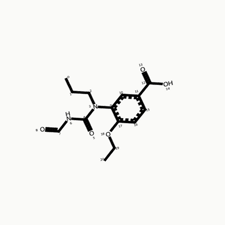 CCCN(C(=O)NC=O)c1cc(C(=O)O)ccc1OCC